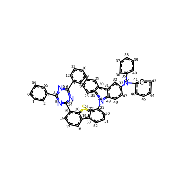 c1ccc(-c2nc(-c3ccccc3)nc(-c3cccc4c3sc3c(-n5c6ccccc6c6cc(N(c7ccccc7)c7ccccc7)ccc65)cccc34)n2)cc1